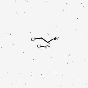 CC(C)Cl.CCCCCCl